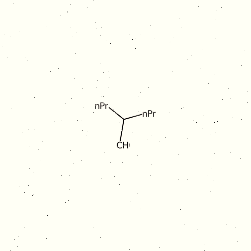 [CH]C(CCC)CCC